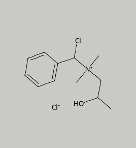 CC(O)C[N+](C)(C)C(Cl)c1ccccc1.[Cl-]